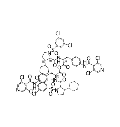 O=C(Nc1ccc(C[C@H](NC(=O)C2C(C3CCCCC3)CCN2S(=O)(=O)c2cc(Cl)cc(Cl)c2)C(=O)OC(=O)[C@H](Cc2ccc(NC(=O)c3c(Cl)cncc3Cl)cc2)NC(=O)[C@H]2[C@H](C3CCCCC3)CCN2S(=O)(=O)c2cc(Cl)cc(Cl)c2)cc1)c1c(Cl)cncc1Cl